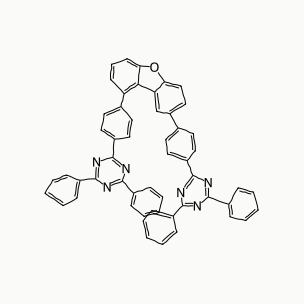 c1ccc(-c2nc(-c3ccccc3)nc(-c3ccc(-c4ccc5oc6cccc(-c7ccc(-c8nc(-c9ccccc9)nc(-c9ccccc9)n8)cc7)c6c5c4)cc3)n2)cc1